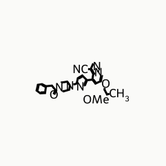 CO[C@@H](C)COc1cc(-c2ccc(N3CCN(C(=O)Cc4ccccc4)CC3)nc2)c2c(C#N)cnn2c1